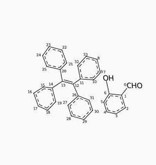 O=Cc1ccccc1O.c1ccc(C(=C(c2ccccc2)c2ccccc2)c2ccccc2)cc1